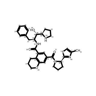 Cc1csc([C@H]2CCCN2C(=O)c2cc3c(c(C(=O)N[C@@H](Cc4ccccc4)[C@H](O)[C@H]4CCCN4)c2)CCCO3)n1